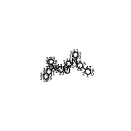 c1ccc(-c2ccc(N(c3ccccc3)c3ccc4c(c3)oc3ccc(-n5c6ccccc6c6cc7ccccc7cc65)cc34)cc2)cc1